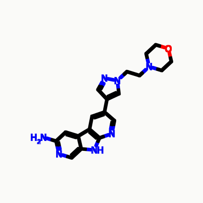 Nc1cc2c(cn1)[nH]c1ncc(-c3cnn(CCN4CCOCC4)c3)cc12